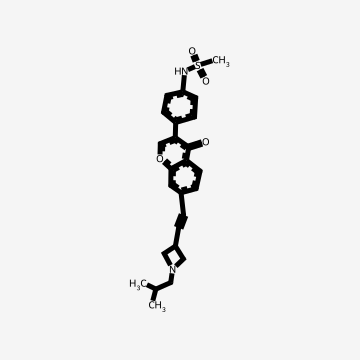 CC(C)CN1CC(C#Cc2ccc3c(=O)c(-c4ccc(NS(C)(=O)=O)cc4)coc3c2)C1